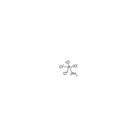 PP(Cl)(Cl)(Cl)Cl